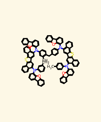 Cc1ccc(N(c2cc3c4cc(N(c5ccc(Cc6ccc(N(c7cc8c9cc(N(c%10cccc(C)c%10)c%10cccc%11c%10oc%10ccccc%10%11)c%10ccccc%10c9sc8c8ccccc78)c7cccc8c7oc7ccccc78)cc6C)cc5)c5cccc6c5oc5ccccc56)c5ccccc5c4sc3c3ccccc23)c2cccc3c2oc2ccccc23)cc1